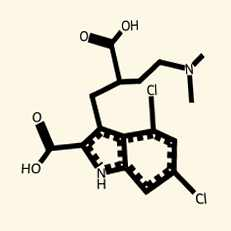 CN(C)CCC(Cc1c(C(=O)O)[nH]c2cc(Cl)cc(Cl)c12)C(=O)O